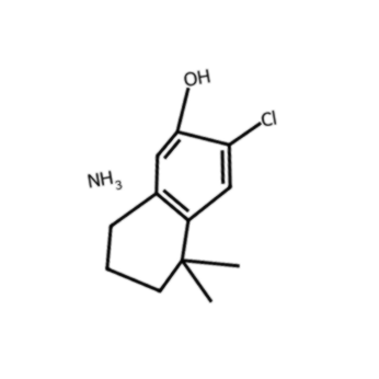 CC1(C)CCCc2cc(O)c(Cl)cc21.N